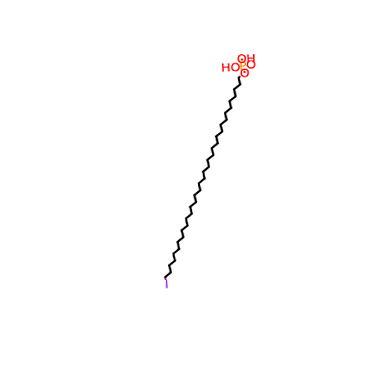 O=P(O)(O)OCCCCCCCCCCCCCCCCCCCCCCCCCCCCCCCCCCCI